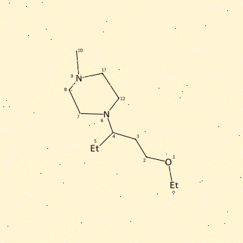 CCOCCC(CC)N1CCN(C)CC1